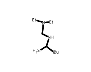 CCC(C)C([SiH3])NCN(CC)CC